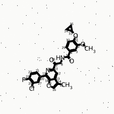 COc1cc(C(=O)NCC(=O)c2cc3c(C)coc3c(-c3ccc(F)c(Cl)c3)n2)ccc1OC1CC1